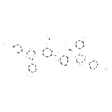 C=CCc1cc(C(C)(C)c2ccc(Oc3nc(-c4ccc(C)cc4)nc(-c4ccc5c(c4)CC5)n3)c(CC=C)c2)ccc1Oc1nc(-c2ccc(C)cc2)nc(-c2ccc3c(c2)CC3)n1